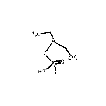 CCN(CC)OP(=O)(O)Cl